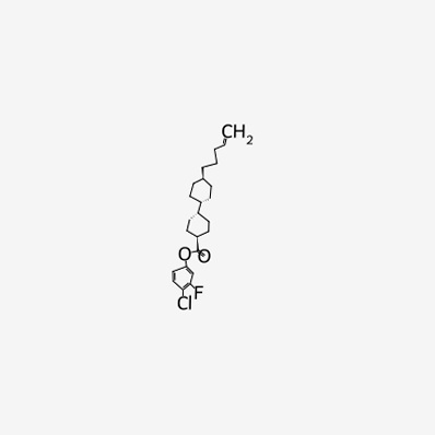 C=CCCC[C@H]1CC[C@H]([C@H]2CC[C@H](C(=O)Oc3ccc(Cl)c(F)c3)CC2)CC1